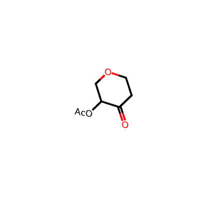 CC(=O)OC1COCCC1=O